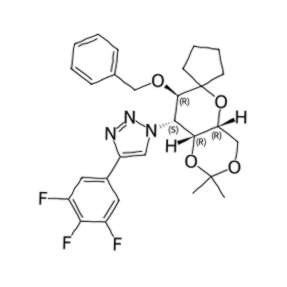 CC1(C)OC[C@H]2OC3(CCCC3)[C@H](OCc3ccccc3)[C@@H](n3cc(-c4cc(F)c(F)c(F)c4)nn3)[C@H]2O1